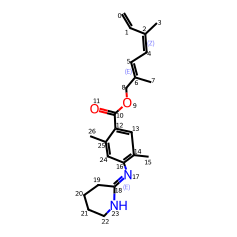 C=C/C(C)=C\C=C(/C)COC(=O)c1cc(C)c(/N=C2\CCCCN2)cc1C